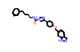 O=C(NCCCCc1ccccc1)n1cnc(-c2ccc(OCc3ccc4cn[nH]c4c3)cc2)c1